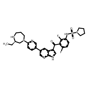 CC[C@@H]1CN(c2ccc(-c3cnc4[nH]cc(C(=O)c5c(F)ccc(NS(=O)(=O)N6CCCC6)c5F)c4c3)cn2)CCCN1